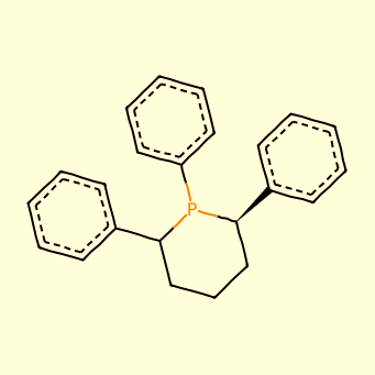 c1ccc(C2CCC[C@H](c3ccccc3)P2c2ccccc2)cc1